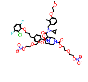 COCCOc1cccc(CN(C(=O)C2=C(c3ccc(CCCOc4c(F)ccc(F)c4Cl)cc3)CC3CN(C(=O)OCCOCCO[N+](=O)[O-])CC2N3C(=O)OCCOCCO[N+](=O)[O-])C2CC2)c1C